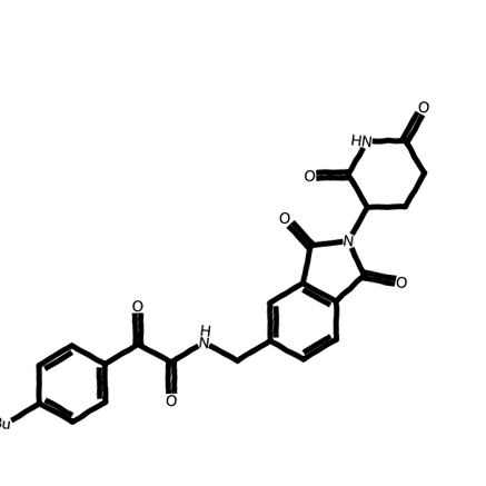 CC(C)(C)c1ccc(C(=O)C(=O)NCc2ccc3c(c2)C(=O)N(C2CCC(=O)NC2=O)C3=O)cc1